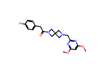 COc1cc(OC)nc(CN2CC3(C2)CN(C(=O)Cc2ccc(F)cc2)C3)n1